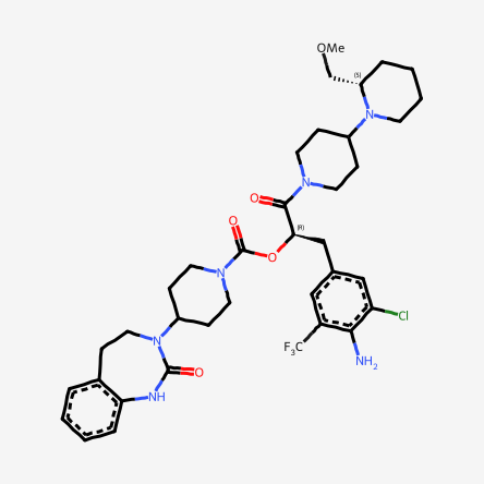 COC[C@@H]1CCCCN1C1CCN(C(=O)[C@@H](Cc2cc(Cl)c(N)c(C(F)(F)F)c2)OC(=O)N2CCC(N3CCc4ccccc4NC3=O)CC2)CC1